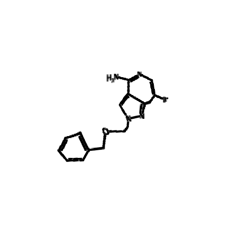 Nc1ncc(Br)c2nn(COCc3ccccc3)cc12